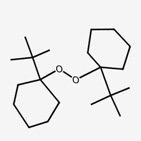 CC(C)(C)C1(OOC2(C(C)(C)C)CCCCC2)CCCCC1